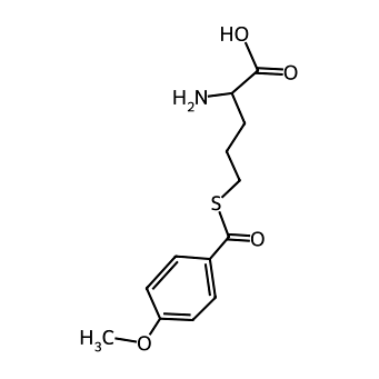 COc1ccc(C(=O)SCCCC(N)C(=O)O)cc1